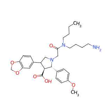 CCCCN(CCCCN)C(=O)CN1CC(c2ccc3c(c2)OCO3)[C@H](C(=O)O)[C@H]1c1ccc(OC)cc1